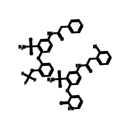 NS(=O)(=O)c1cc(NC(=O)Cc2ccccc2)ccc1Oc1ccccc1OC(F)(F)F.NS(=O)(=O)c1cc(NC(=O)Cc2ccccc2Cl)ccc1Oc1ccc[nH]c1=O